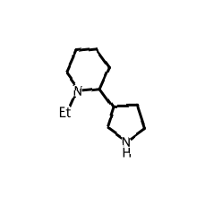 CCN1CCCCC1C1CCNC1